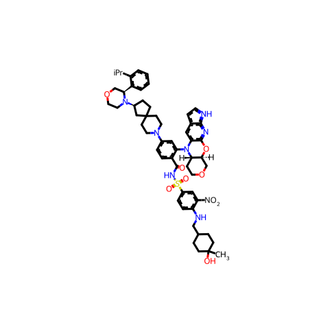 CC(C)c1ccccc1[C@@H]1COCCN1[C@H]1CCC2(CCN(c3ccc(C(=O)NS(=O)(=O)c4ccc(NCC5CCC(C)(O)CC5)c([N+](=O)[O-])c4)c(N4c5cc6cc[nH]c6nc5O[C@H]5COCC[C@@H]54)c3)CC2)C1